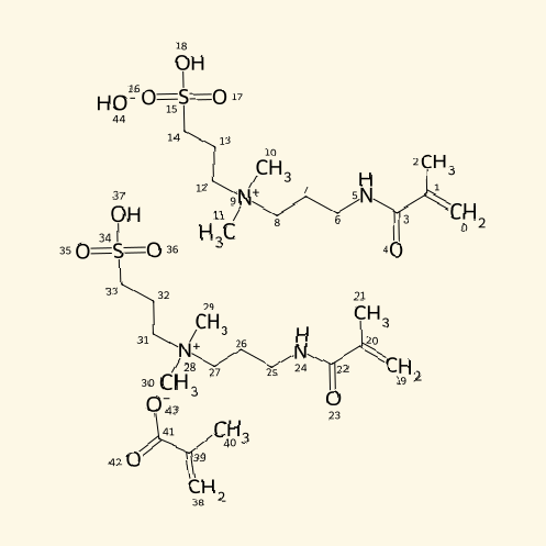 C=C(C)C(=O)NCCC[N+](C)(C)CCCS(=O)(=O)O.C=C(C)C(=O)NCCC[N+](C)(C)CCCS(=O)(=O)O.C=C(C)C(=O)[O-].[OH-]